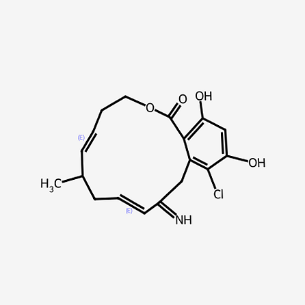 CC1/C=C/CCOC(=O)c2c(O)cc(O)c(Cl)c2CC(=N)/C=C/C1